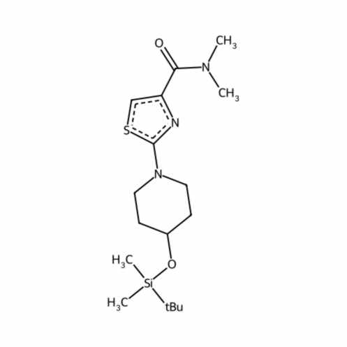 CN(C)C(=O)c1csc(N2CCC(O[Si](C)(C)C(C)(C)C)CC2)n1